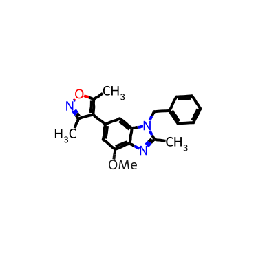 COc1cc(-c2c(C)noc2C)cc2c1nc(C)n2Cc1ccccc1